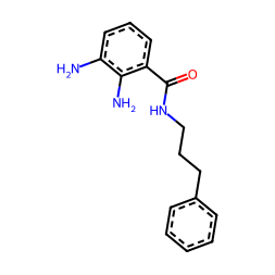 Nc1cccc(C(=O)NCCCc2ccccc2)c1N